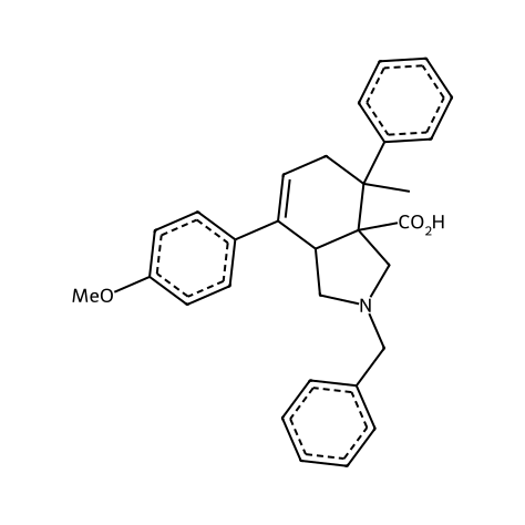 COc1ccc(C2=CCC(C)(c3ccccc3)C3(C(=O)O)CN(Cc4ccccc4)CC23)cc1